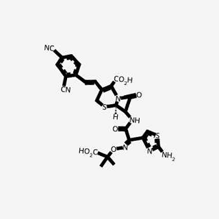 CC(C)(O/N=C(\C(=O)NC1C(=O)N2C(C(=O)O)=C(/C=C/c3ccc(C#N)cc3C#N)CS[C@H]12)c1csc(N)n1)C(=O)O